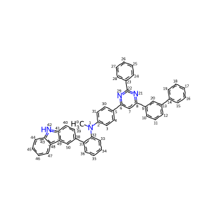 CN(c1ccc(-c2cc(-c3cccc(-c4ccccc4)c3)nc(-c3ccccc3)n2)cc1)c1ccccc1-c1ccc2[nH]c3ccccc3c2c1